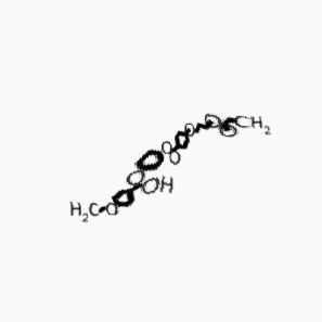 C=CCOc1ccc(C(O)OC2=CC=C(OC(=O)c3ccc(OCCCOC(=O)C=C)cc3)CC2)cc1